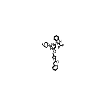 O=C(Cc1ccccn1)N1CC(COc2cc(-n3c(C(F)F)nc4ccccc43)nc(N3CCOCC3)n2)C1